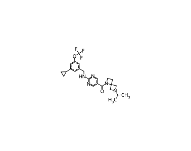 CC(C)N1CC2(CCN2C(=O)c2cnc(NCc3cc(OC(F)(F)F)cc(C4CC4)c3)nc2)C1